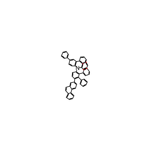 c1ccc(-c2ccc(N(c3ccccc3)c3ccc(-c4ccc5c(ccc6ccccc65)c4)c(-c4ccccc4)c3-c3ccccc3)c(-c3ccccc3)c2)cc1